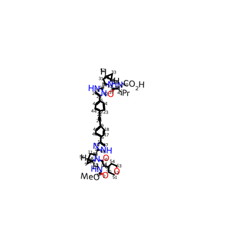 COC(=O)N[C@H](C(=O)N1[C@@H]2C[C@@H]2C[C@H]1c1nc(-c2ccc(C#Cc3ccc(-c4c[nH]c([C@@H]5C[C@H]6C[C@H]6N5C(=O)[C@@H](NC(=O)O)C(C)C)n4)cc3)cc2)c[nH]1)C1CCOCC1